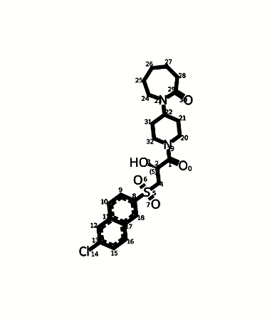 O=C([C@H](O)CS(=O)(=O)c1ccc2cc(Cl)ccc2c1)N1CCC(N2CCCCCC2=O)CC1